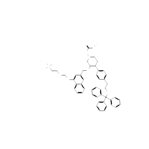 CC(C)(C)OC(=O)ON1CCC(c2ccc(CCOC(c3ccccc3)(c3ccccc3)c3ccccc3)cc2)C(OCc2cc(OCOCC[Si](C)(C)C)c3ccccc3c2)C1